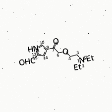 CCN(CC)CCOCC(=O)c1c[nH]c(C=O)c1